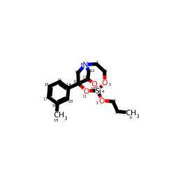 CCCO[Si]12OCCN(CCO1)CC(c1cccc(C)c1)O2